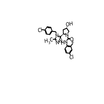 Cc1nnc([C@H]2C[C@H](O)CN2C(=O)Nc2ccc(Cl)cc2F)n1Cc1ccc(Cl)cc1